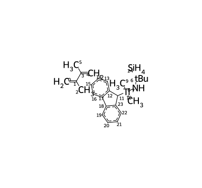 C=C(C)C(=C)C.CC(C)(C)[NH][Ti]([CH3])([CH3])[CH]1c2ccccc2-c2ccccc21.[SiH4]